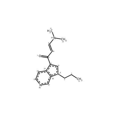 CCCn1cc(C(=O)C=CN(C)C)c2ccncc21